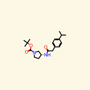 CC(C)c1ccc(CC(=O)N[C@@H]2CCN(C(=O)OC(C)(C)C)C2)cc1